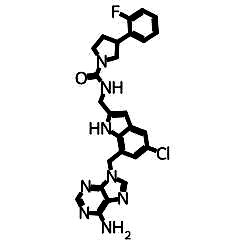 Nc1ncnc2c1ncn2Cc1cc(Cl)cc2cc(CNC(=O)N3CCC(c4ccccc4F)C3)[nH]c12